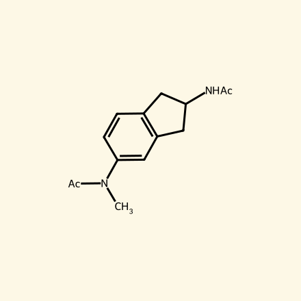 CC(=O)NC1Cc2ccc(N(C)C(C)=O)cc2C1